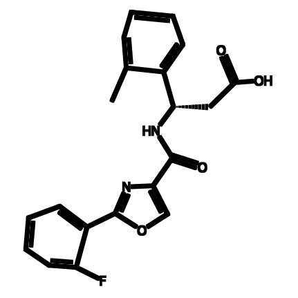 Cc1ccccc1[C@H](CC(=O)O)NC(=O)c1coc(-c2ccccc2F)n1